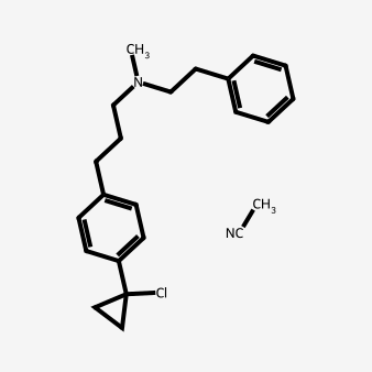 CC#N.CN(CCCc1ccc(C2(Cl)CC2)cc1)CCc1ccccc1